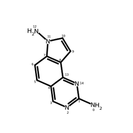 Nc1ncc2ccc3c(ccn3N)c2n1